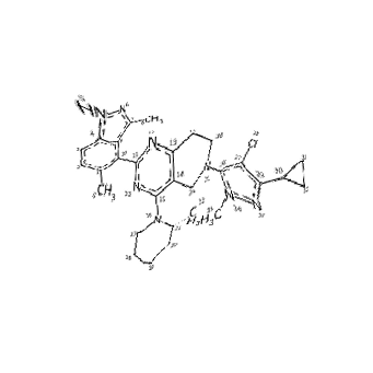 Cc1ccc2[nH]nc(C)c2c1-c1nc2c(c(N3CCCC[C@H]3C)n1)CN(c1c(Cl)c(C3CC3)nn1C)CC2